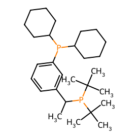 CC(c1cccc(P(C2CCCCC2)C2CCCCC2)c1)P(C(C)(C)C)C(C)(C)C